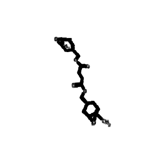 CC12CCC(COC(=O)CCC(=O)OCC3CCC4(C)OC4C3)CC1O2